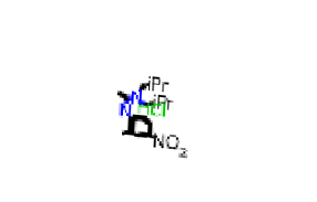 CC(=Nc1ccc([N+](=O)[O-])cc1C)N(CC(C)C)CC(C)C.Cl